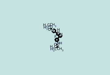 CC(C)(C)OC(=O)Nc1ccc(F)c(-c2ccnc3[nH]c(C4CCN(C(=O)OC(C)(C)C)CC4)cc23)c1